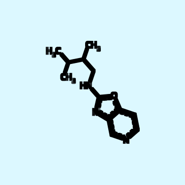 CC(C)C(C)CNc1nc2cnccc2o1